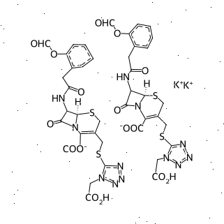 O=COc1ccccc1CC(=O)NC1C(=O)N2C(C(=O)[O-])=C(CSc3nnnn3CC(=O)O)CS[C@H]12.O=COc1ccccc1CC(=O)NC1C(=O)N2C(C(=O)[O-])=C(CSc3nnnn3CC(=O)O)CS[C@H]12.[K+].[K+]